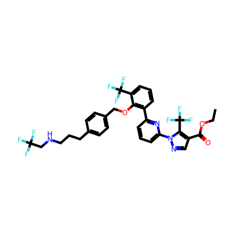 CCOC(=O)c1cnn(-c2cccc(-c3cccc(C(F)(F)F)c3OCc3ccc(CCCNCC(F)(F)F)cc3)n2)c1C(F)(F)F